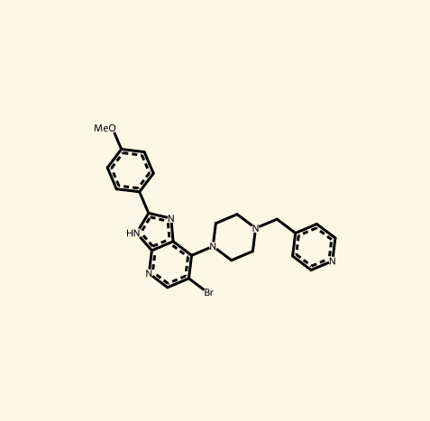 COc1ccc(-c2nc3c(N4CCN(Cc5ccncc5)CC4)c(Br)cnc3[nH]2)cc1